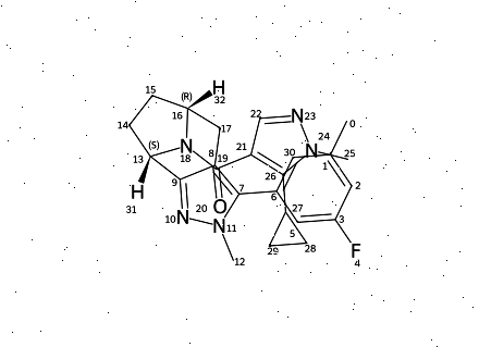 Cc1cc(F)cc(-c2c3c(nn2C)[C@@H]2CC[C@H](C3)N2C(=O)c2cnn(C)c2C2CC2)c1